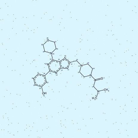 CN(C)CC(=O)N1CCN(Cc2cc3nc(-c4cccc(O)c4)nc(N4CCOCC4)c3s2)CC1